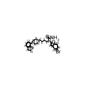 NC(=O)N(CCCCN1CCN(c2cccc3c2OCC3)CC1)c1cc2cc(Br)ccc2o1